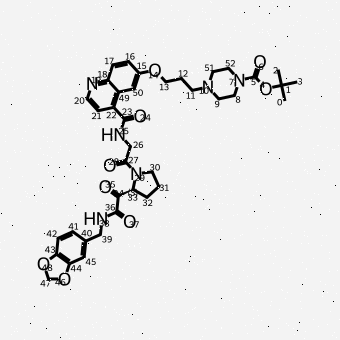 CC(C)(C)OC(=O)N1CCN(CCCOc2ccc3nccc(C(=O)NCC(=O)N4CCC[C@H]4C(=O)C(=O)NCc4ccc5c(c4)OCO5)c3c2)CC1